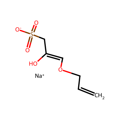 C=CCOC=C(O)CS(=O)(=O)[O-].[Na+]